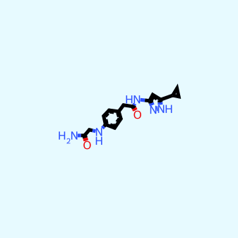 NC(=O)CNc1ccc(CC(=O)Nc2cc(C3CC3)[nH]n2)cc1